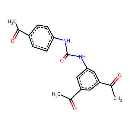 CC(=O)c1ccc(NC(=O)Nc2cc(C(C)=O)cc(C(C)=O)c2)cc1